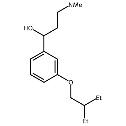 CCC(CC)COc1cccc(C(O)CCNC)c1